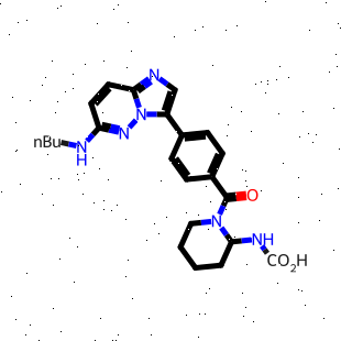 CCCCNc1ccc2ncc(-c3ccc(C(=O)N4CCCCC4NC(=O)O)cc3)n2n1